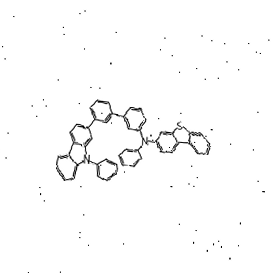 c1ccc(N(c2cccc(-c3cccc(-c4ccc5c6ccccc6n(-c6ccccc6)c5c4)c3)c2)c2ccc3c(c2)sc2ccccc23)cc1